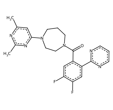 Cc1cc(N2CCCN(C(=O)c3cc(F)c(F)cc3-c3ncccn3)CC2)nc(C)n1